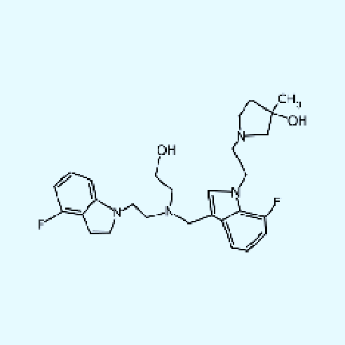 CC1(O)CCN(CCn2cc(CN(CCO)CCn3ccc4c(F)cccc43)c3cccc(F)c32)C1